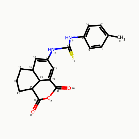 Cc1ccc(NC(=S)NC2=CC3CCCC4C(=O)OC(=O)C(=C2)C34)cc1